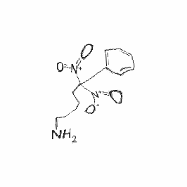 NCCCC(c1ccccc1)([N+](=O)[O-])[N+](=O)[O-]